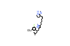 C=NC1=C(/C=C\CCCCc2cc(CC(CC(=C)C)c3cc(F)cc(C(C)(C)C)c3)nn2C)CCCN1